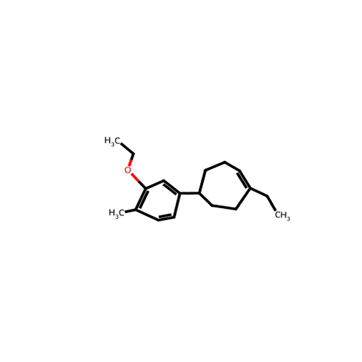 CCOc1cc(C2CCC=C(CC)CC2)ccc1C